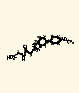 O=C(O)CNC(=O)Cc1nc2cc(-c3ccc(OC(F)(F)F)cc3)ccc2s1